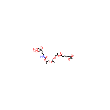 CO[Si](CO)(CO)CCCNC(=O)OC(C)COC(C)COCC(C)OC(=O)CCCC[Si](C)(OC)OC